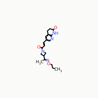 CCCON=C(C)C1CN(C(=O)/C=C/c2cnc3c(c2)CCC(=O)N3)C1